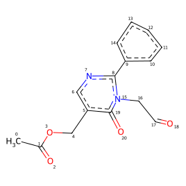 CC(=O)OCc1cnc(-c2ccccc2)n(CC=O)c1=O